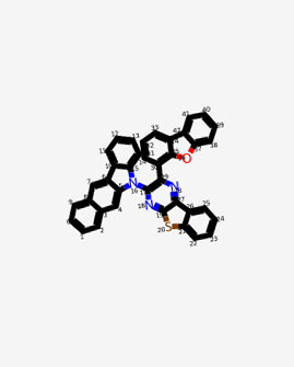 c1ccc2cc3c(cc2c1)c1ccccc1n3-c1nc2sc3ccccc3c2nc1-c1cccc2c1oc1ccccc12